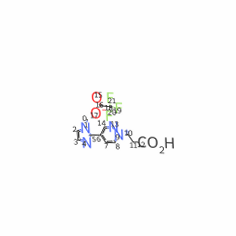 Cn1ccnc1-c1cc[n+](CCC(=O)O)nc1.O=C([O-])C(F)(F)F